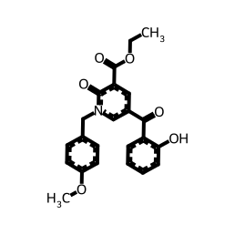 CCOC(=O)c1cc(C(=O)c2ccccc2O)cn(Cc2ccc(OC)cc2)c1=O